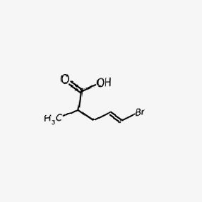 CC(CC=CBr)C(=O)O